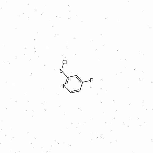 Fc1ccnc(SCl)c1